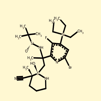 CC[Si](CC)(CC)c1cc(Br)nc(C(C)(C[S@]2(O)NCCC[C@]2(C)C#N)N[S@+]([O-])C(C)(C)C)c1F